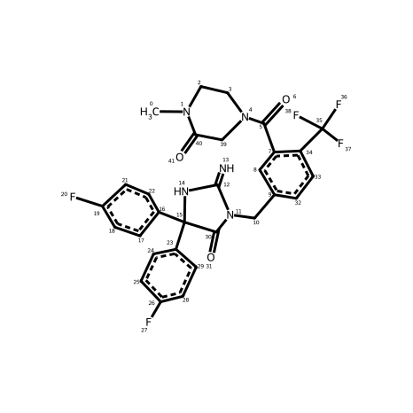 CN1CCN(C(=O)c2cc(CN3C(=N)NC(c4ccc(F)cc4)(c4ccc(F)cc4)C3=O)ccc2C(F)(F)F)CC1=O